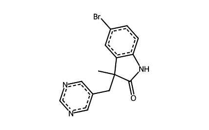 CC1(Cc2cncnc2)C(=O)Nc2ccc(Br)cc21